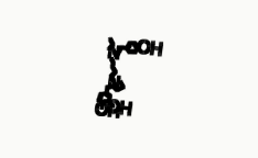 CCCN(CCCCCN1CCCC1Cc1ccc(O)c(O)c1)CCc1ccc(O)cc1